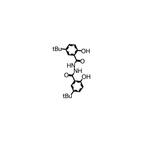 CC(C)(C)c1ccc(O)c(C(=O)NNC(=O)c2cc(C(C)(C)C)ccc2O)c1